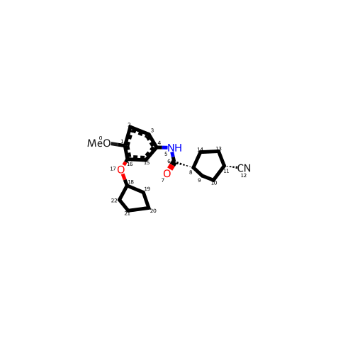 COc1ccc(NC(=O)[C@H]2CC[C@@H](C#N)CC2)cc1OC1CCCC1